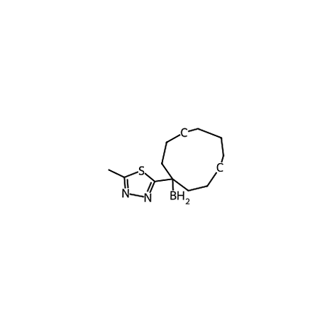 BC1(c2nnc(C)s2)CCCCCCCCC1